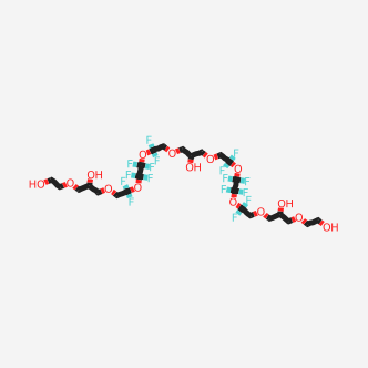 OCCOCC(O)COCC(F)(F)OC(F)(F)C(F)(F)OC(F)(F)COCC(O)COCC(F)(F)OC(F)(F)C(F)(F)OC(F)(F)COCC(O)COCCO